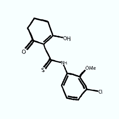 COc1c(Cl)cccc1NC(=S)C1=C(O)CCCC1=O